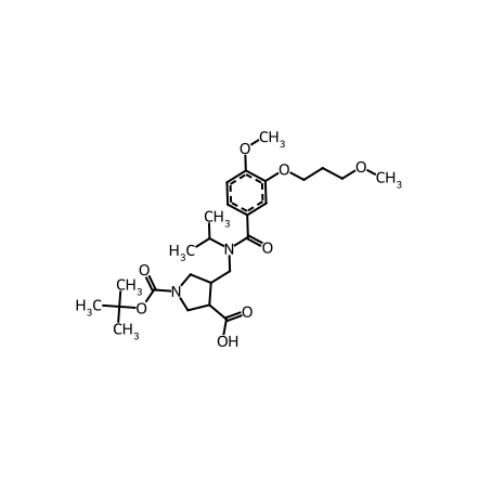 COCCCOc1cc(C(=O)N(CC2CN(C(=O)OC(C)(C)C)CC2C(=O)O)C(C)C)ccc1OC